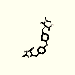 CN(C)C(=O)[C@H](Cc1ccc(Oc2ccc(CC3SC(=O)NC3=O)cc2)cc1)NCl